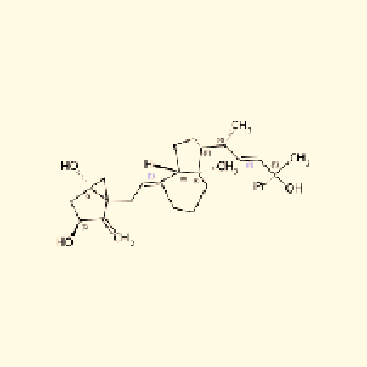 C=C1[C@@H](O)C[C@@]2(O)CC12C/C=C1\CCC[C@]2(C)[C@@H]([C@H](C)/C=C/[C@@](C)(O)C(C)C)CC[C@@H]12